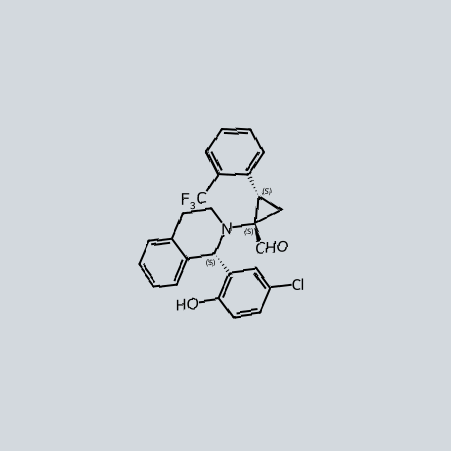 O=C[C@]1(N2CCc3ccccc3[C@H]2c2cc(Cl)ccc2O)C[C@H]1c1ccccc1C(F)(F)F